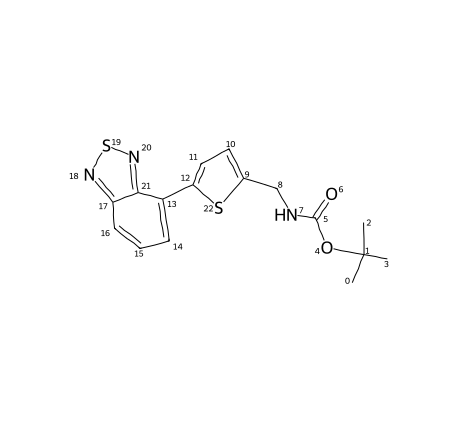 CC(C)(C)OC(=O)NCc1ccc(-c2cccc3nsnc23)s1